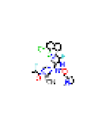 C=C(F)C(=O)N1CCN(c2nc(OC[C@@H]3CCCN3C)nc3c(F)c(-c4cccc5ccc(Cl)c(Cl)c45)ncc23)C[C@@H]1CC#N